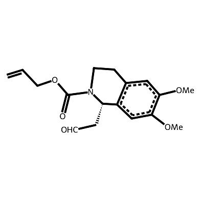 C=CCOC(=O)N1CCc2cc(OC)c(OC)cc2[C@@H]1CC=O